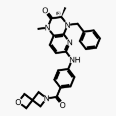 C[C@@H]1C(=O)N(C)c2ccc(Nc3ccc(C(=O)N4CC5(COC5)C4)cc3)nc2N1Cc1ccccc1